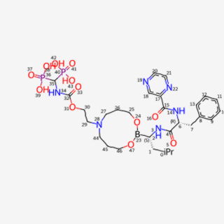 CC(C)C[C@@H](NC(=O)[C@@H](Cc1ccccc1)NC(=O)c1cnccn1)B1OCCCN(CCOC(=O)NC(P(=O)(O)O)P(=O)(O)O)CCCO1